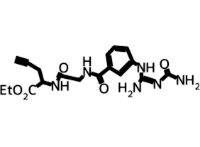 C#CCC(NC(=O)CNC(=O)c1cccc(N/C(N)=N\C(N)=O)c1)C(=O)OCC